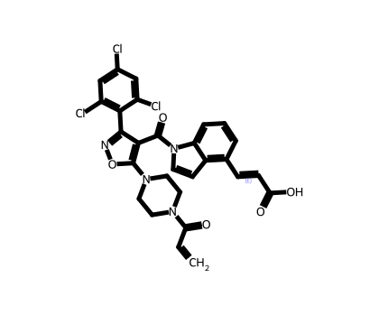 C=CC(=O)N1CCN(c2onc(-c3c(Cl)cc(Cl)cc3Cl)c2C(=O)n2ccc3c(/C=C/C(=O)O)cccc32)CC1